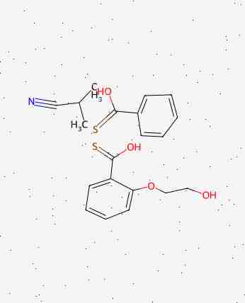 CC(C)C#N.OC(=S)c1ccccc1.OCCOc1ccccc1C(O)=S